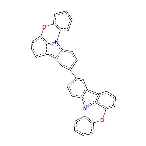 c1ccc2c(c1)Oc1cccc3c4cc(-c5ccc6c(c5)c5cccc7c5n6-c5ccccc5O7)ccc4n-2c13